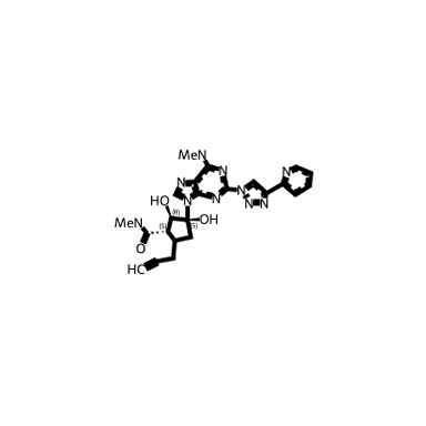 C#CCC1C[C@@](O)(n2cnc3c(NC)nc(-n4cc(-c5ccccn5)nn4)nc32)[C@H](O)[C@H]1C(=O)NC